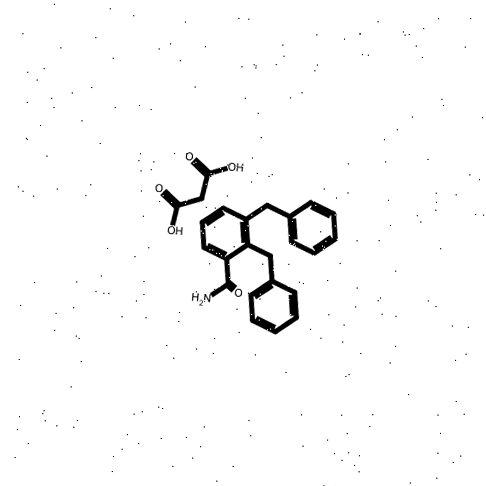 NC(=O)c1cccc(Cc2ccccc2)c1Cc1ccccc1.O=C(O)CC(=O)O